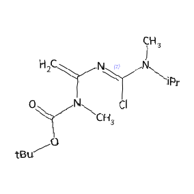 C=C(/N=C(\Cl)N(C)C(C)C)N(C)C(=O)OC(C)(C)C